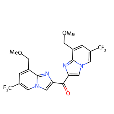 COCc1cc(C(F)(F)F)cn2cc(C(=O)c3cn4cc(C(F)(F)F)cc(COC)c4n3)nc12